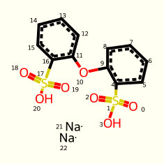 O=S(=O)(O)c1ccccc1Oc1ccccc1S(=O)(=O)O.[Na].[Na]